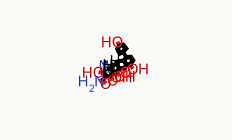 CN(C)[C@@H]1C(O)=C(C(N)=O)C(=O)[C@@]2(O)C(O)=C3C(=O)c4c(O)ccc(-c5ccc(O)cc5)c4C[C@H]3C[C@@H]12